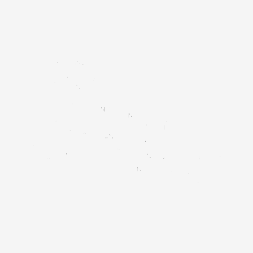 Cc1nn(-c2cc(Cl)c(F)c(O)c2F)c2cnc(N3CCN(S(C)(=O)=O)C[C@H]3Cc3ccccc3)nc12